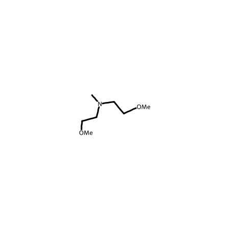 COCCN(C)CCOC